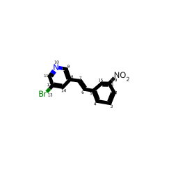 O=[N+]([O-])c1cccc(C=Cc2cncc(Br)c2)c1